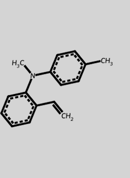 C=Cc1ccccc1N(C)c1ccc(C)cc1